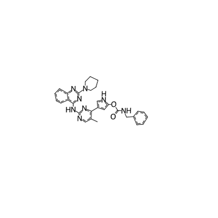 Cc1cnc(Nc2nc(N3CCCCC3)nc3ccccc23)nc1-c1c[nH]c(OC(=O)NCc2ccccc2)c1